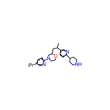 CC(C)c1ccc(N2CCOC(CC(C)c3ccc(C4CCNCC4)nc3)C2)nc1